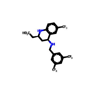 O=C(O)C[C@@H]1C[C@H](NCc2cc(C(F)(F)F)cc(C(F)(F)F)c2)c2cc(C(F)(F)F)ccc2N1